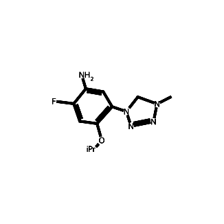 CC(C)Oc1cc(F)c(N)cc1N1CN(C)N=N1